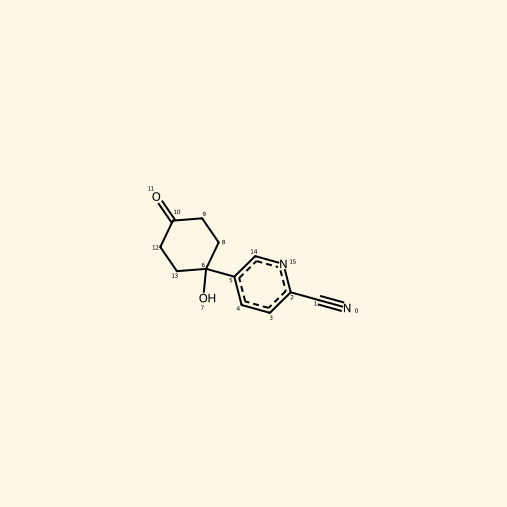 N#Cc1ccc(C2(O)CCC(=O)CC2)cn1